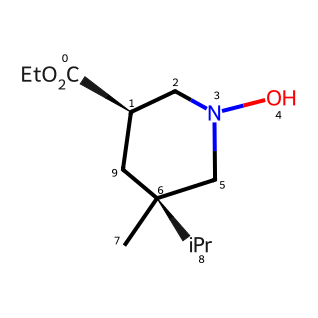 CCOC(=O)[C@H]1CN(O)C[C@@](C)(C(C)C)C1